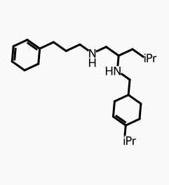 CC(C)CC(CNCCCC1=CC=CCC1)NCC1CC=C(C(C)C)CC1